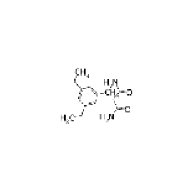 CCc1cc(C)cc(CC)c1.NC(=O)CC(N)=O